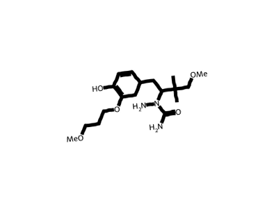 COCCCOC1=C(O)C=CC(CC(N(N)C(N)=O)C(C)(C)COC)C1